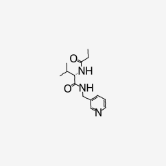 CCC(=O)N[C@H](C(=O)NCc1cccnc1)C(C)C